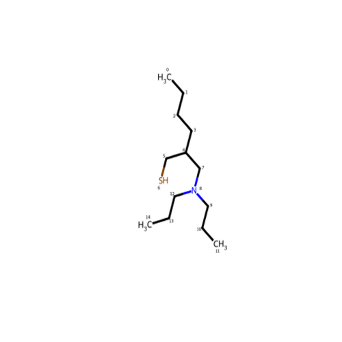 CCCCC(CS)CN(CCC)CCC